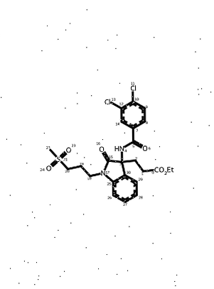 CCOC(=O)CCC1(NC(=O)c2ccc(Cl)c(Cl)c2)C(=O)N(CCCS(C)(=O)=O)c2ccccc21